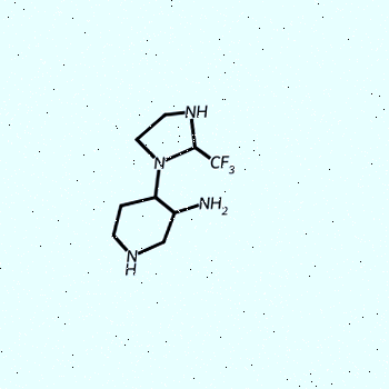 NC1CNCCC1N1CCNC1C(F)(F)F